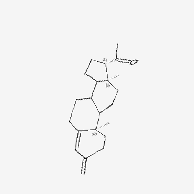 C=C1C=C2CCC3C(CC[C@@]4(C)C3CC[C@@H]4C(C)=O)[C@@]2(C)CC1